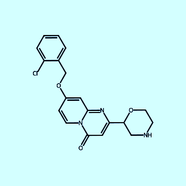 O=c1cc(C2CNCCO2)nc2cc(OCc3ccccc3Cl)ccn12